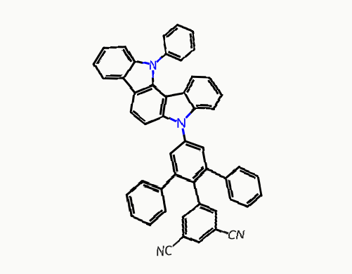 N#Cc1cc(C#N)cc(-c2c(-c3ccccc3)cc(-n3c4ccccc4c4c3ccc3c5ccccc5n(-c5ccccc5)c34)cc2-c2ccccc2)c1